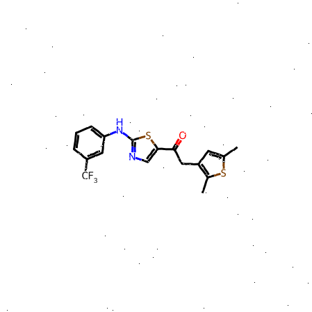 Cc1cc(CC(=O)c2cnc(Nc3cccc(C(F)(F)F)c3)s2)c(C)s1